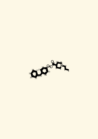 CCCN1CCC(C(=O)OOc2ccc(Cc3ccccc3)cc2)CC1